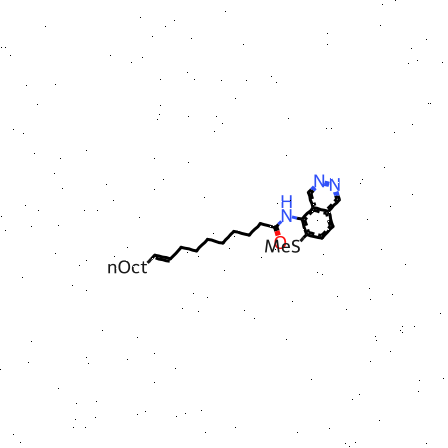 CCCCCCCCC=CCCCCCCCC(=O)Nc1c(SC)ccc2cnncc12